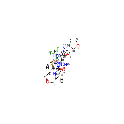 O=C(Nc1nc2c(s1)[C@@H]1COC[C@H](C2)N1c1nc(C2(C(F)(F)F)CC2)no1)N[C@@H]1CCOC1